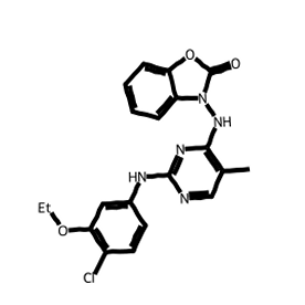 CCOc1cc(Nc2ncc(C)c(Nn3c(=O)oc4ccccc43)n2)ccc1Cl